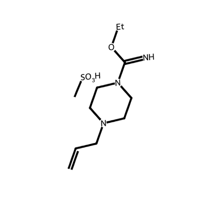 C=CCN1CCN(C(=N)OCC)CC1.CS(=O)(=O)O